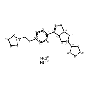 C1=C(c2ccc(CCN3CCCC3)cc2)C2CN(C3CCCC3)CC2C1.Cl.Cl